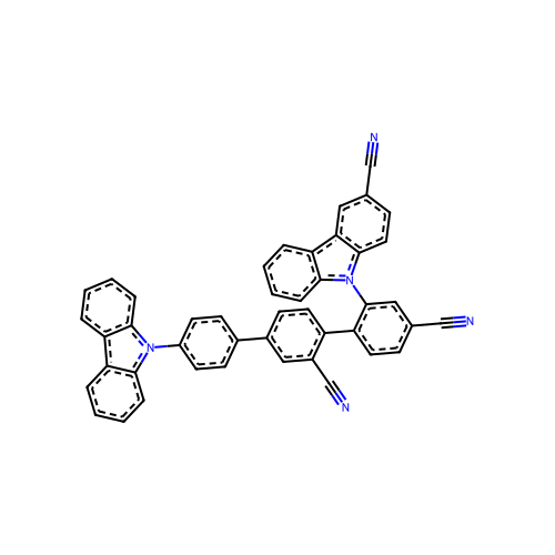 N#Cc1ccc(-c2ccc(-c3ccc(-n4c5ccccc5c5ccccc54)cc3)cc2C#N)c(-n2c3ccccc3c3cc(C#N)ccc32)c1